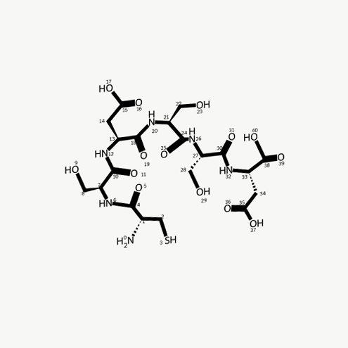 N[C@@H](CS)C(=O)N[C@@H](CO)C(=O)N[C@@H](CC(=O)O)C(=O)N[C@@H](CO)C(=O)N[C@@H](CO)C(=O)N[C@@H](CC(=O)O)C(=O)O